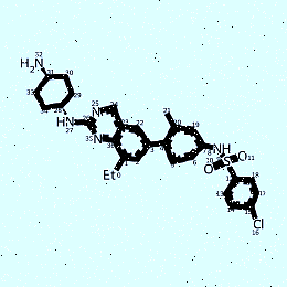 CCc1cc(-c2ccc(NS(=O)(=O)c3ccc(Cl)cc3)cc2C)cc2cnc(N[C@H]3CC[C@H](N)CC3)nc12